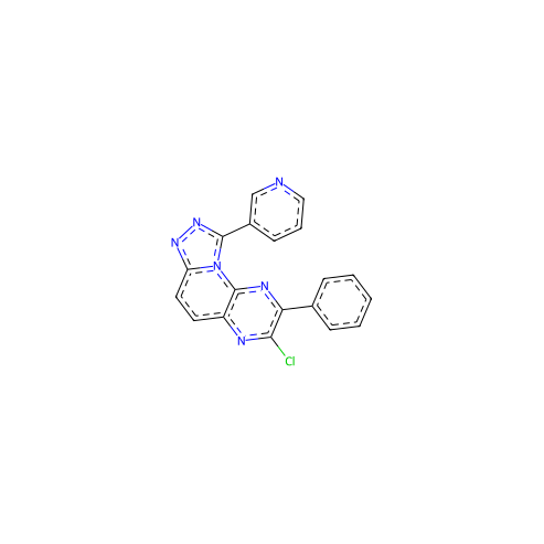 Clc1nc2ccc3nnc(-c4cccnc4)n3c2nc1-c1ccccc1